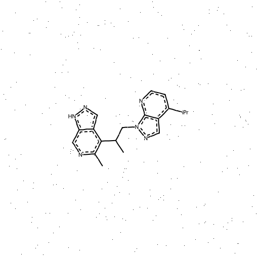 Cc1ncc2[nH]ncc2c1C(C)Cn1ncc2c(C(C)C)ccnc21